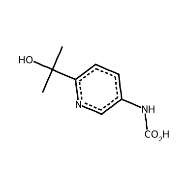 CC(C)(O)c1ccc(NC(=O)O)cn1